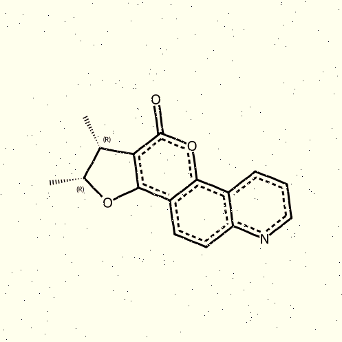 C[C@@H]1c2c(c3ccc4ncccc4c3oc2=O)O[C@@H]1C